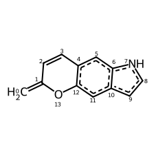 C=C1C=Cc2cc3[nH]ccc3cc2O1